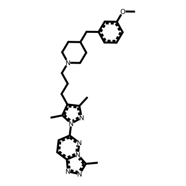 COc1cccc(CC2CCN(CCCc3c(C)nn(-c4ccc5nnc(C)n5n4)c3C)CC2)c1